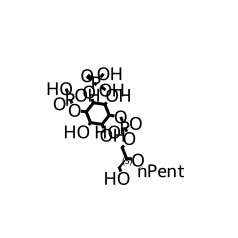 CCCCCO[C@@H](CO)COP(=O)(O)OC1C(O)C(O)C(OP(=O)(O)O)C(OP(=O)(O)O)C1O